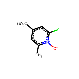 Cc1cc(C(=O)O)cc(Cl)[n+]1[O-]